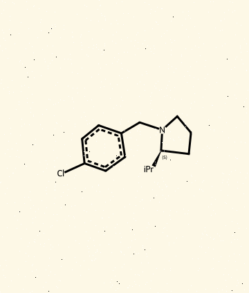 CC(C)[C@@H]1CCCN1Cc1ccc(Cl)cc1